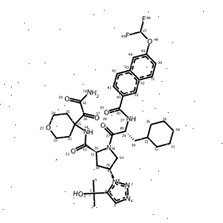 CC(C)(O)c1cnnn1[C@H]1C[C@@H](C(=O)NC2(C(=O)C(N)=O)CCOCC2)N(C(=O)[C@@H](CC2CCCCC2)NC(=O)c2ccc3cc(OC(F)F)ccc3c2)C1